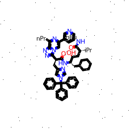 CCCCNC(=O)[C@@H](C[C@H](O)[C@H](CC1CCCCC1)NC(=O)[C@@H](Cc1cn(C(c2ccccc2)(c2ccccc2)c2ccccc2)cn1)c1nnc2c(CCC)nc(-c3cccnc3)cn12)C(C)C